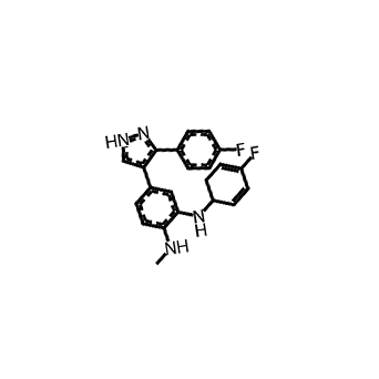 CNc1ccc(-c2c[nH]nc2-c2ccc(F)cc2)cc1NC1C=CC(F)=CC1